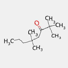 CCCC(C)(C)CC(=O)C(C)(C)C